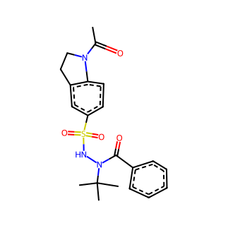 CC(=O)N1CCc2cc(S(=O)(=O)NN(C(=O)c3ccccc3)C(C)(C)C)ccc21